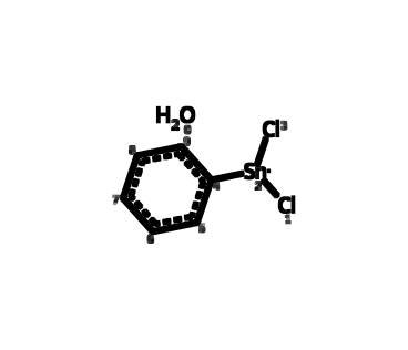 O.[Cl][Sn]([Cl])[c]1ccccc1